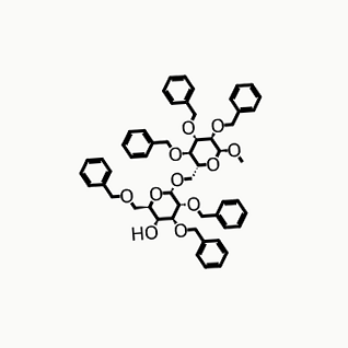 CO[C@H]1O[C@H](CO[C@H]2O[C@H](COCc3ccccc3)[C@H](O)[C@H](OCc3ccccc3)[C@H]2OCc2ccccc2)[C@@H](OCc2ccccc2)[C@H](OCc2ccccc2)[C@H]1OCc1ccccc1